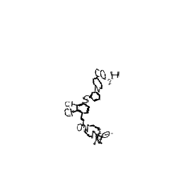 CN(C)[S+]([O-])N1CCN(C(=O)C=Cc2ccc(Sc3cccc(N4CCC(C(=O)O)CC4)c3)c(Cl)c2Cl)CC1